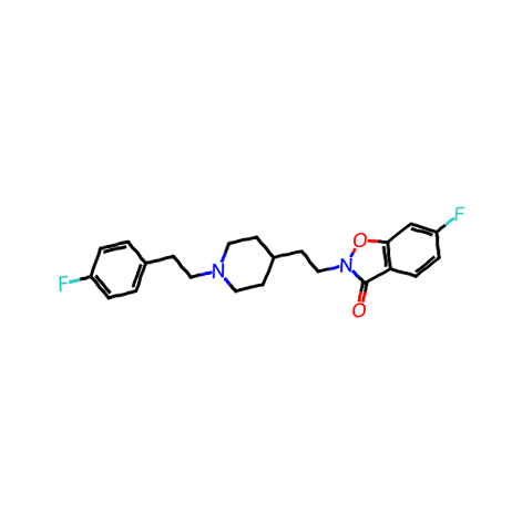 O=c1c2ccc(F)cc2on1CCC1CCN(CCc2ccc(F)cc2)CC1